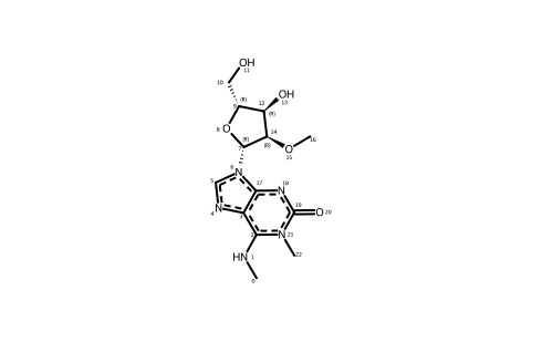 CNc1c2ncn([C@@H]3O[C@H](CO)[C@@H](O)[C@H]3OC)c2nc(=O)n1C